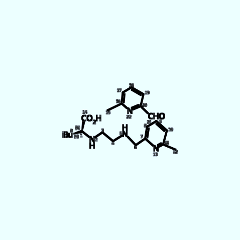 CC[C@H](C)[C@H](NCCNCc1cccc(C)n1)C(=O)O.Cc1cccc(C=O)n1